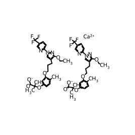 CCOc1nn(-c2ccc(C(F)(F)F)cn2)cc1CCCOc1cc(OC(C)(C)C(=O)[O-])ccc1C.CCOc1nn(-c2ccc(C(F)(F)F)cn2)cc1CCCOc1cc(OC(C)(C)C(=O)[O-])ccc1C.[Ca+2]